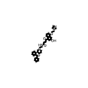 O=C(C=CC(=O)c1cc(O)cc2c(OCCn3ccnc3)cccc12)NCCN1CCC(OC(c2ccccc2)c2ccccc2)CC1